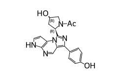 CC(=O)N1C[C@H](O)C[C@@H]1c1nc(-c2ccc(O)cc2)c2cnc3[nH]ccc3n12